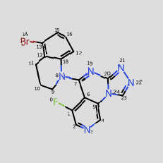 Fc1cncc2c1c(N1CCCc3c(Br)cccc31)nc1nncn12